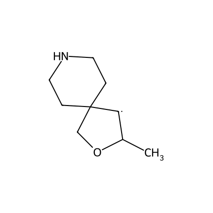 CC1[CH]C2(CCNCC2)CO1